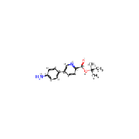 CC(C)(C)OC(=O)c1ccc(-c2ccc(N)cc2)cn1